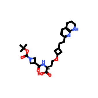 CC(C)(C)OC(=O)N1CC(C(=O)N[C@@H](CCOC2CC(CCc3ccc4c(n3)NCCC4)C2)C(=O)O)C1